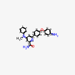 CN(c1ccccc1)c1cc(C(N)=O)nc(-c2ccc(Oc3ccc(N)cc3)cc2)c1